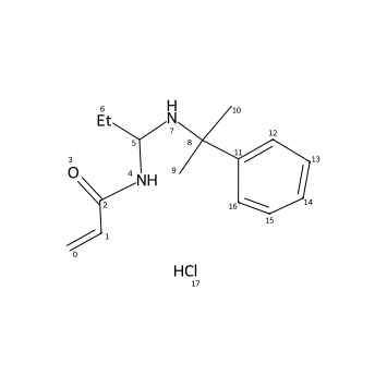 C=CC(=O)NC(CC)NC(C)(C)c1ccccc1.Cl